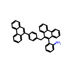 Nc1ccccc1-c1c(Cc2ccc(-c3cc4ccccc4c4ccccc34)cc2)c2ccccc2c2ccccc12